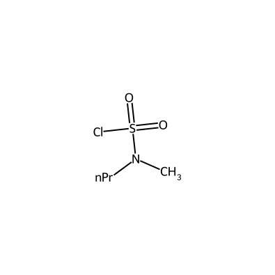 CCCN(C)S(=O)(=O)Cl